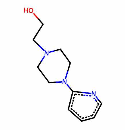 OCCN1CCN(c2ccccn2)CC1